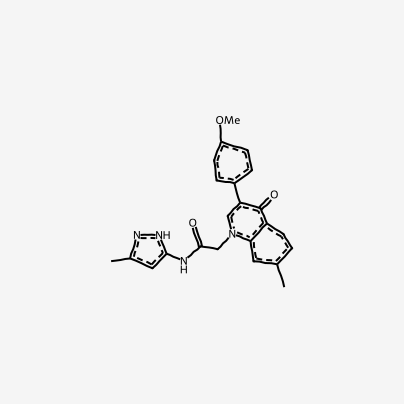 COc1ccc(-c2cn(CC(=O)Nc3cc(C)n[nH]3)c3cc(C)ccc3c2=O)cc1